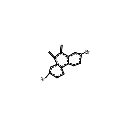 C=c1c(=C)c2cc(Br)ccc2c2ccc(Br)cc12